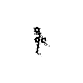 CN1CCC(OC(c2cccc(CCCCCCN)c2)c2nc3ccccc3[nH]2)CC1